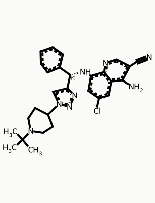 CC(C)(C)N1CCC(n2cc([C@@H](Nc3cc(Cl)cc4c(N)c(C#N)cnc34)c3ccccc3)nn2)CC1